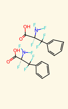 O=C(O)[C@@](F)(N(F)F)C(F)(F)c1ccccc1.O=C(O)[C@@](F)(N(F)F)C(F)(F)c1ccccc1